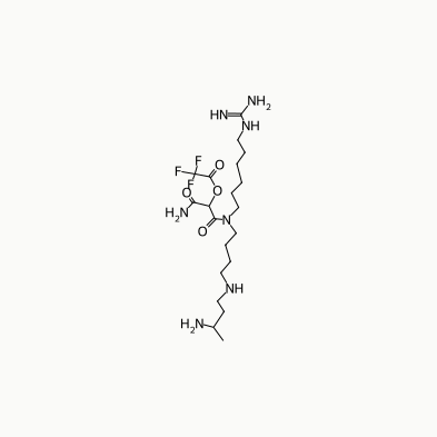 CC(N)CCNCCCCN(CCCCCCNC(=N)N)C(=O)C(OC(=O)C(F)(F)F)C(N)=O